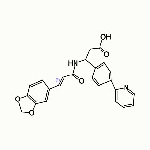 O=C(O)CC(NC(=O)/C=C/c1ccc2c(c1)OCO2)c1ccc(-c2ccccn2)cc1